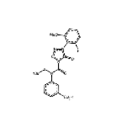 CCCCSN(C(=O)n1nnn(-c2c(F)cccc2OC)c1=O)c1cccc(C(=O)O)c1